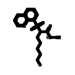 CCCCCCC(C(=O)NO)S(=O)(=O)c1cccc2cccnc12